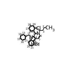 Br.CCCCN1C=Cc2c(n(Cc3ccccc3)c3ccccc23)C1c1ccccc1Cl